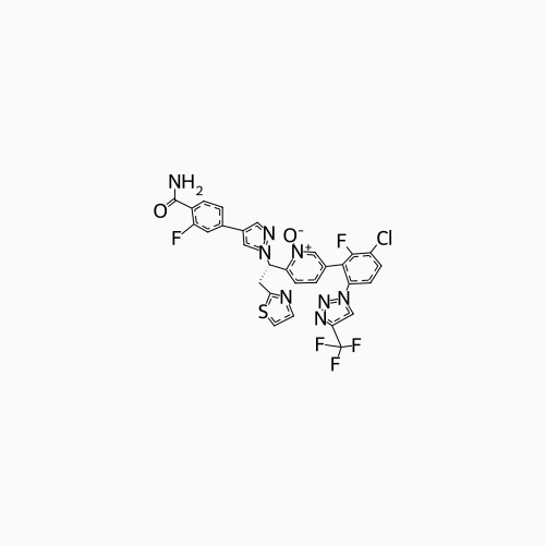 NC(=O)c1ccc(-c2cnn([C@@H](Cc3nccs3)c3ccc(-c4c(-n5cc(C(F)(F)F)nn5)ccc(Cl)c4F)c[n+]3[O-])c2)cc1F